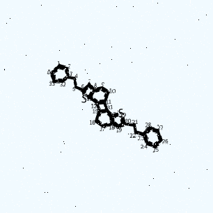 c1ccc(CCc2cc3ccc4c(c3s2)-c2ccc3cc(CCc5ccccc5)sc3c2-4)cc1